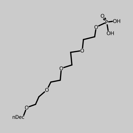 CCCCCCCCCCOCCOCCOCCOCCOP(=O)(O)O